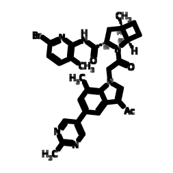 CC(=O)c1cn(CC(=O)N2[C@H](C(=O)Nc3nc(Br)ccc3C)C[C@@]3(C)CC[C@@H]23)c2c(C)cc(-c3cnc(C)nc3)cc12